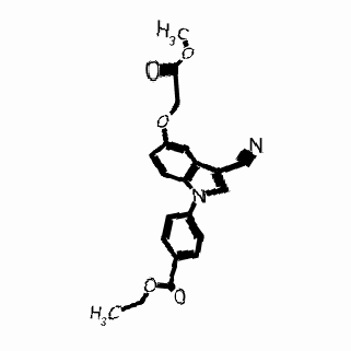 CCOC(=O)c1ccc(-n2cc(C#N)c3cc(OCC(=O)OC)ccc32)cc1